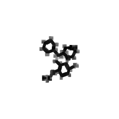 COc1ccc(F)cc1C[C@H](c1ccccc1)[C@H]1CNCCO1